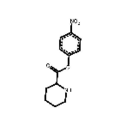 O=C(Oc1ccc([N+](=O)[O-])cc1)C1CCCCN1